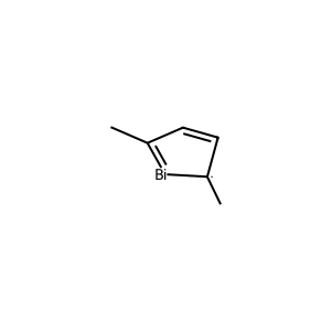 C[C]1C=C[C](C)=[Bi]1